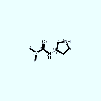 CN(C)C(=O)N[C@H]1CCNC1